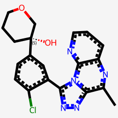 Cc1nc2cccnc2n2c(-c3cc([C@@]4(O)CCCOC4)ccc3Cl)nnc12